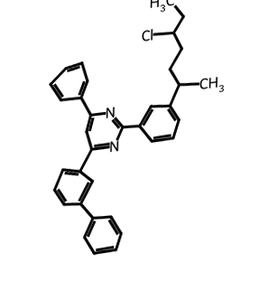 CCC(Cl)CCC(C)c1cccc(-c2nc(-c3ccccc3)cc(-c3cccc(-c4ccccc4)c3)n2)c1